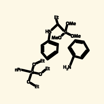 CCC(Nc1ccccc1)[Si](OC)(OC)OC.CCC[Si](OCC)(OCC)OCC.Nc1ccccc1